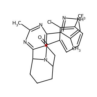 Cc1nc(-c2n[nH]cc2C)c2c(n1)C1CCCC(C2)N1C(=O)c1cccc(C(F)(F)F)c1Cl